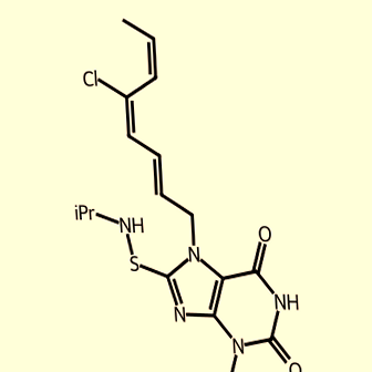 C\C=C/C(Cl)=C\C=C\Cn1c(SNC(C)C)nc2c1c(=O)[nH]c(=O)n2C